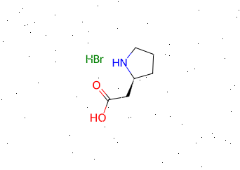 Br.O=C(O)C[C@@H]1CCCN1